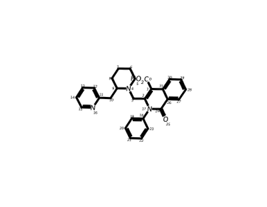 O=C(O)c1c(CN2CCCCC2Cc2ccccn2)n(-c2ccccc2)c(=O)c2ccccc12